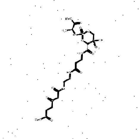 COC(=O)CCC(=O)CC(=O)SCCNC(=O)CCNC(=O)[C@@H]1OP(=O)(N[C@@H](C)C(=O)OC)OCC1(C)C